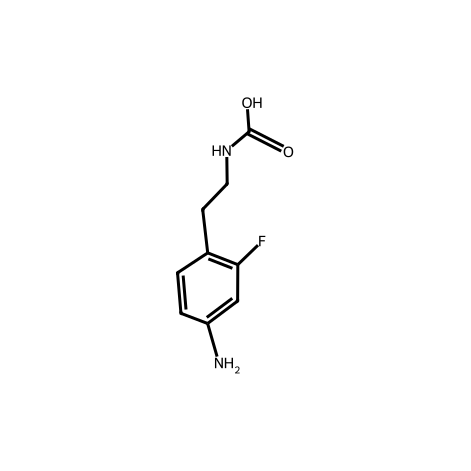 Nc1ccc(CCNC(=O)O)c(F)c1